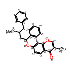 CNC(Cc1ccccc1)CC(Oc1ccc2c(=O)c(C(C)(C)C)coc2c1)c1ccccc1